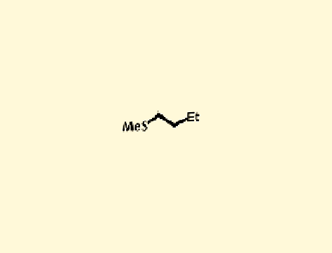 CCC[CH]SC